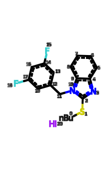 CCCCSc1nc2ccccc2n1Cc1cc(F)cc(F)c1.I